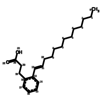 CCCCCCCCCCCC=Cc1ccccc1CCC(=O)O